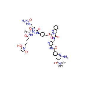 CCCN(CCC)C(=O)C1=Cc2ccc(C(=O)Nc3cncc(CNC(=O)[C@H](Cc4ccccc4)NC(=O)OCc4ccc(NC(=O)[C@H](CCCNC(N)=O)NC(=O)[C@@H](NC(=O)CCCCCN5C(=O)C=CC5O)C(C)C)cc4)c3)cc2N=C(N)C1